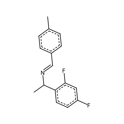 Cc1ccc(C=NC(C)c2ccc(F)cc2F)cc1